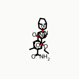 CCOC(=O)c1ccc(N2C3CCC2CC(NC(=O)c2cc(C)c(C(N)=O)cc2C)C3)nc1